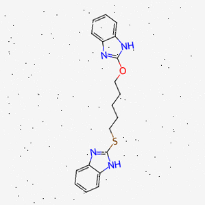 c1ccc2[nH]c(OCCCCCSc3nc4ccccc4[nH]3)nc2c1